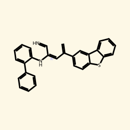 C=C(/C=C(\C=N)Nc1ccccc1-c1ccccc1)c1ccc2sc3ccccc3c2c1